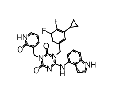 O=c1[nH]cccc1Cn1c(=O)nc(Nc2cccc3[nH]ccc23)n(CC2=CC(C3CC3)=C(F)C(F)C2)c1=O